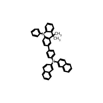 CC1(C)c2ccccc2N(c2ccccc2)c2ccc(-c3ccc(N(c4ccc5ccccc5c4)c4ccc5ccccc5c4)cc3)cc21